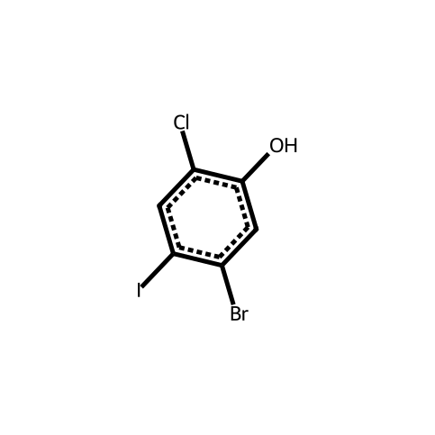 Oc1cc(Br)c(I)cc1Cl